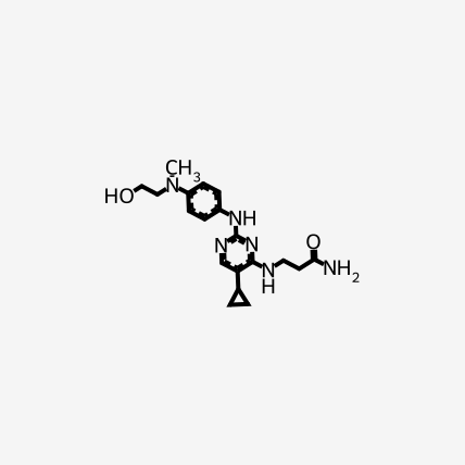 CN(CCO)c1ccc(Nc2ncc(C3CC3)c(NCCC(N)=O)n2)cc1